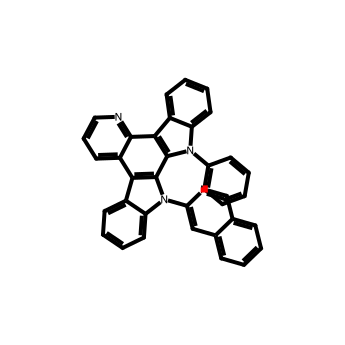 c1ccc(-n2c3ccccc3c3c4ncccc4c4c5ccccc5n(-c5cc6ccccc6cn5)c4c32)cc1